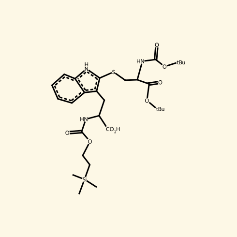 CC(C)(C)OC(=O)NC(CSc1[nH]c2ccccc2c1CC(NC(=O)OCC[Si](C)(C)C)C(=O)O)C(=O)OC(C)(C)C